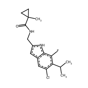 CC(C)c1c(Cl)cc2cc(CNC(=O)C3(C)CC3)[nH]c2c1F